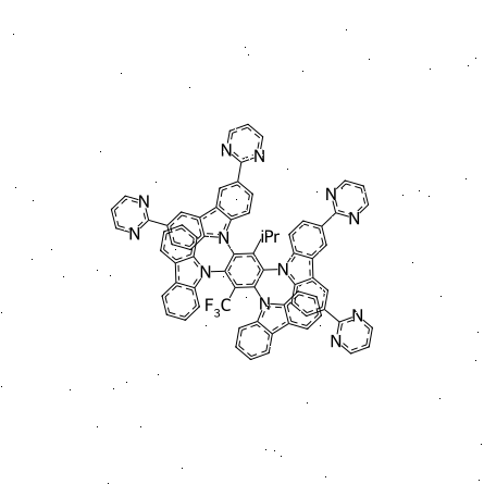 CC(C)c1c(-n2c3ccc(-c4ncccn4)cc3c3cc(-c4ncccn4)ccc32)c(-n2c3ccccc3c3ccccc32)c(C(F)(F)F)c(-n2c3ccccc3c3ccccc32)c1-n1c2ccc(-c3ncccn3)cc2c2cc(-c3ncccn3)ccc21